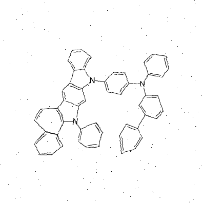 c1ccc(-c2cccc(N(c3ccccc3)c3ccc(-n4c5ccccc5c5cc6c7ccc8ccccc8c7n(-c7ccccc7)c6cc54)cc3)c2)cc1